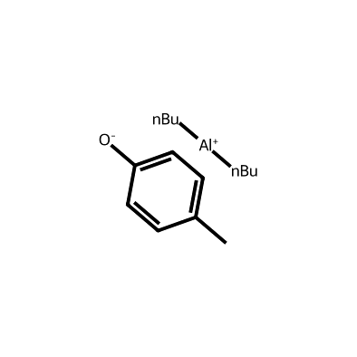 CCC[CH2][Al+][CH2]CCC.Cc1ccc([O-])cc1